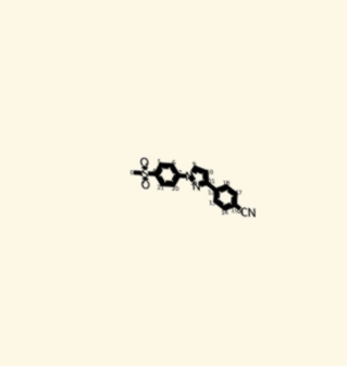 CS(=O)(=O)c1ccc(-n2ccc(-c3ccc(C#N)cc3)n2)cc1